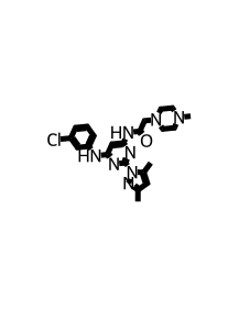 Cc1cc(C)n(-c2nc(NC(=O)CN3CCN(C)CC3)cc(Nc3cccc(Cl)c3)n2)n1